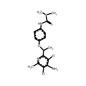 Cc1nc(C(C)Oc2ccc(NC(=S)N(C)C)cc2)c(Cl)c(N)c1Cl